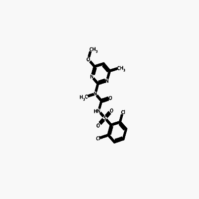 COc1cc(C)nc(N(C)C(=O)NS(=O)(=O)c2c(Cl)cccc2Cl)n1